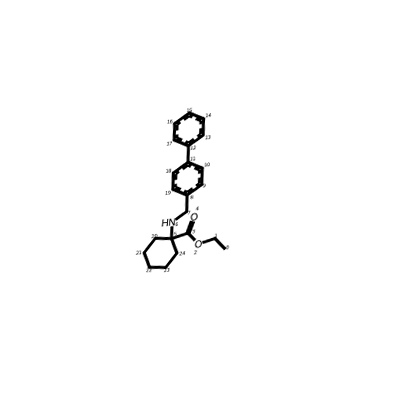 CCOC(=O)C1(NCc2ccc(-c3ccccc3)cc2)CCCCC1